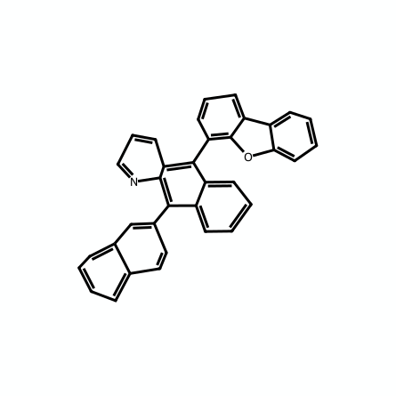 c1ccc2cc(-c3c4ccccc4c(-c4cccc5c4oc4ccccc45)c4cccnc34)ccc2c1